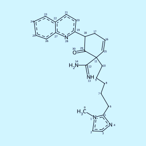 Cn1ccnc1CCCCCC1(C(=N)N)C=CCC(c2ccc3ccccc3n2)C1=O